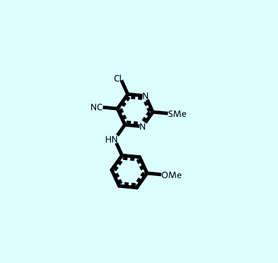 COc1cccc(Nc2nc(SC)nc(Cl)c2C#N)c1